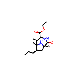 CCCC1C[C@@H]2N[C@H]1C(C)[C@H](C(=O)OCC)NC2=O